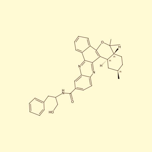 C[C@@H]1CC[C@@H]2[C@@H](C1)c1c(c3ccccc3c3nc4cc(C(=O)NC(CO)Cc5ccccc5)ccc4nc13)OC2(C)C